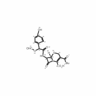 CCC(C)C(=O)C1=C(C(=O)O)N2C(=O)C(NC(=O)C(OC=O)c3ccc(O)cc3)[C@@H]2SC1